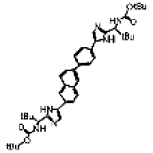 CC(C)(C)OC(=O)NC(c1ncc(-c2ccc(-c3ccc4cc(-c5cnc([C@@H](NC(=O)OC(C)(C)C)C(C)(C)C)[nH]5)ccc4c3)cc2)[nH]1)C(C)(C)C